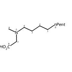 CCCCCCCCCN(C)CC(=O)O